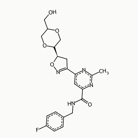 Cc1nc(C(=O)NCc2ccc(F)cc2)cc(C2=NO[C@@H](C3COC(CO)CO3)C2)n1